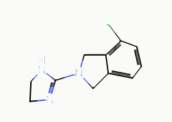 Clc1cccc2c1CN(C1=NCCN1)C2